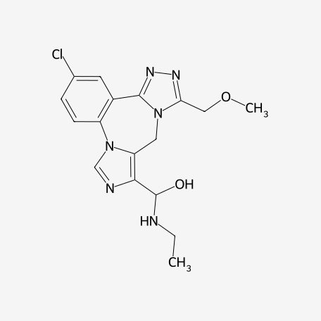 CCNC(O)c1ncn2c1Cn1c(COC)nnc1-c1cc(Cl)ccc1-2